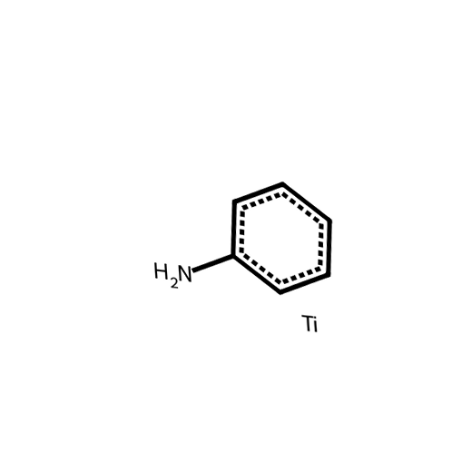 Nc1ccccc1.[Ti]